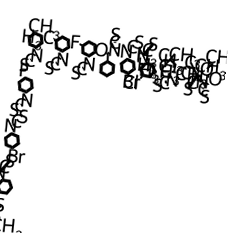 CC(C)(C)CC(C)(C)N=C=S.CC(C)(C)N=C=S.CCOC(=O)N=C=S.CN=C=S.Cc1ccc(N=C=S)cc1.Cc1cccc(N=C=S)c1.Fc1ccc(N=C=S)cc1.Fc1cccc(N=C=S)c1.O=C(N=C=S)c1ccccc1.S=C=Nc1ccc(Br)cc1.S=C=Nc1ccc(Cl)cc1.S=C=Nc1cccc(Br)c1.S=C=Nc1cccc(Cl)c1